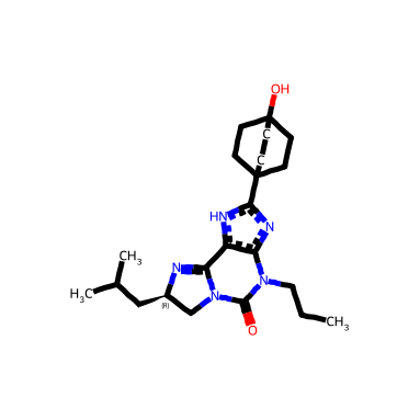 CCCN1C(=O)N2C[C@@H](CC(C)C)N=C2c2[nH]c(C34CCC(O)(CC3)CC4)nc21